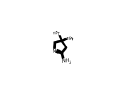 CCCC1(CCC)CN=C(N)C1